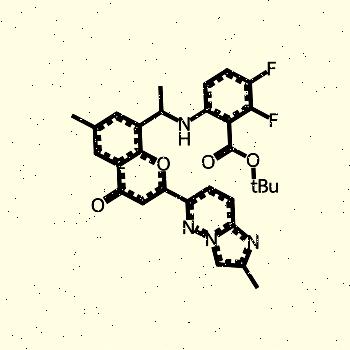 Cc1cc(C(C)Nc2ccc(F)c(F)c2C(=O)OC(C)(C)C)c2oc(-c3ccc4nc(C)cn4n3)cc(=O)c2c1